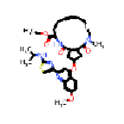 CCOC(=O)C1CCC=CCCCCN(C)C(=O)C2CC(Oc3cc(-c4csc(NC(C)C)n4)nc4cc(OC)ccc34)CC2C(=O)N1